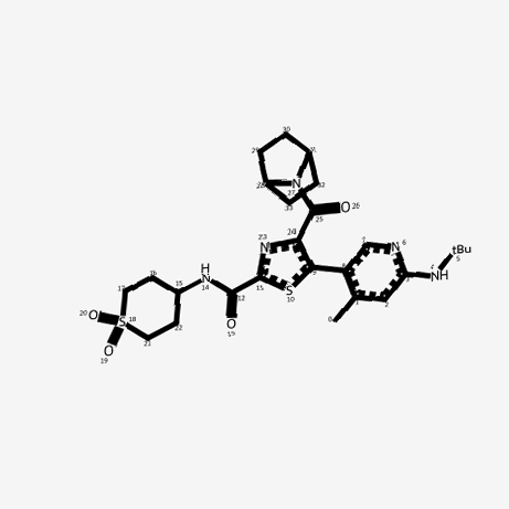 Cc1cc(NC(C)(C)C)ncc1-c1sc(C(=O)NC2CCS(=O)(=O)CC2)nc1C(=O)N1C2CCC1CC2